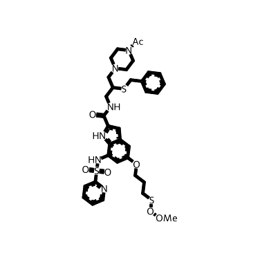 COOSCCCOc1cc(NS(=O)(=O)c2ccccn2)c2[nH]c(C(=O)NCC(CN3CCN(C(C)=O)CC3)SCc3ccccc3)cc2c1